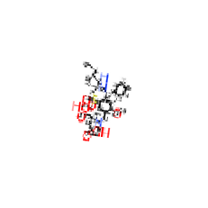 CCCC[C@]1(CC)CS(=O)(=O)c2cc(CN(C)[C@@](C)(CC(=O)O)C(=O)O)c(OC)cc2[C@@H](c2ccccc2)N1